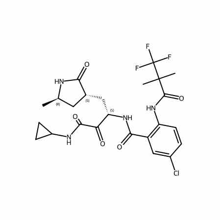 C[C@@H]1C[C@@H](C[C@H](NC(=O)c2cc(Cl)ccc2NC(=O)C(C)(C)C(F)(F)F)C(=O)C(=O)NC2CC2)C(=O)N1